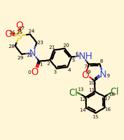 O=C(c1ccc(Nc2cnc(-c3c(Cl)cccc3Cl)o2)cc1)N1CCS(=O)(=O)CC1